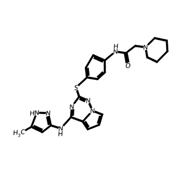 Cc1cc(Nc2nc(Sc3ccc(NC(=O)CN4CCCCC4)cc3)nn3cccc23)n[nH]1